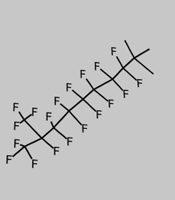 CC(C)(C)C(F)(F)C(F)(F)C(F)(F)C(F)(F)C(F)(F)C(F)(F)C(F)(C(F)(F)F)C(F)(F)F